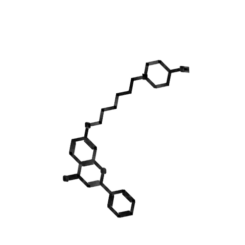 O=c1cc(-c2ccccc2)oc2cc(OCCCCCCN3CCC(O)CC3)ccc12